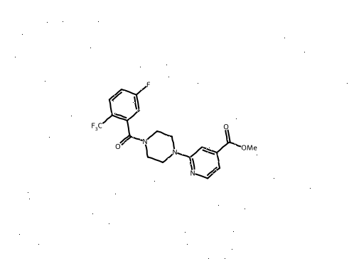 COC(=O)c1ccnc(N2CCN(C(=O)c3cc(F)ccc3C(F)(F)F)CC2)c1